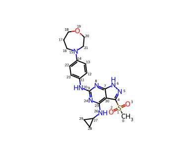 CS(=O)(=O)c1n[nH]c2nc(Nc3ccc(N4CCCOCC4)cc3)nc(NC3CC3)c12